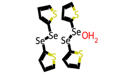 O.c1csc([Se][Se]c2cccs2)c1.c1csc([Se][Se]c2cccs2)c1